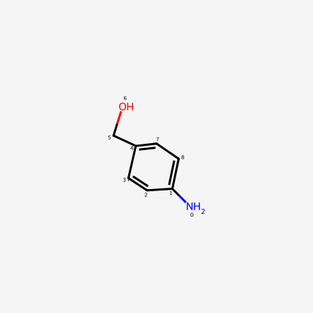 Nc1c[c]c(CO)cc1